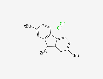 CC(C)(C)c1ccc2c(c1)[CH]([Zr+2])c1cc(C(C)(C)C)ccc1-2.[Cl-].[Cl-]